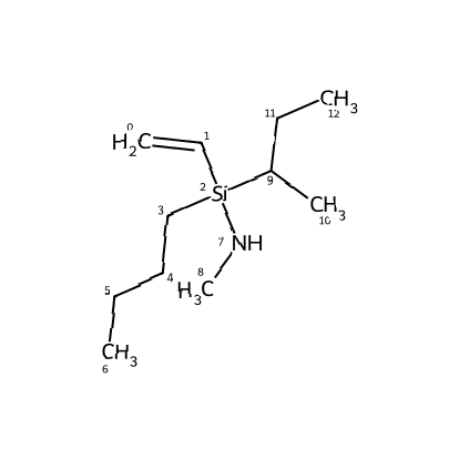 C=C[Si](CCCC)(NC)C(C)CC